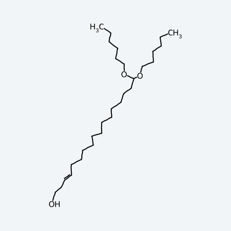 CCCCCCOC(CCCCCCCCCCCC/C=C/CCO)OCCCCCC